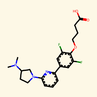 CN(C)C1CCN(c2cccc(-c3cc(F)c(OCCCC(=O)O)c(F)c3)n2)C1